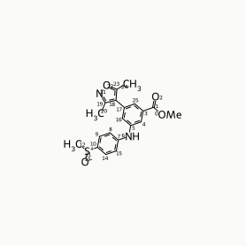 COC(=O)c1cc(Nc2ccc([S+](C)[O-])cc2)cc(-c2c(C)noc2C)c1